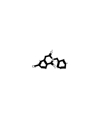 O=C1Cc2cc(Cl)ccc2C(=O)N1Cc1ccccc1